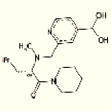 CC(C)C[C@@H](C(=O)N1CCCCC1)N(C)Cc1cc(C(O)O)ccn1